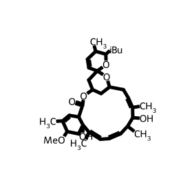 CCC(C)C1OC2(C=CC1C)CC1CC(C/C=C(/C)C(O)C(C)/C=C\C=C(\C)C3(O)CC(OC)C(C)=CC3C(=O)O1)O2